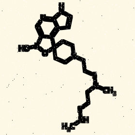 CNSCCN(C)SCCN1CCC2(CC1)OB(O)c1cnc3[nH]ccc3c12